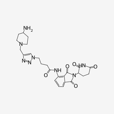 NC1CCN(Cc2cn(CCCC(=O)Nc3cccc4c3C(=O)N(C3CCC(=O)NC3=O)C4=O)nn2)CC1